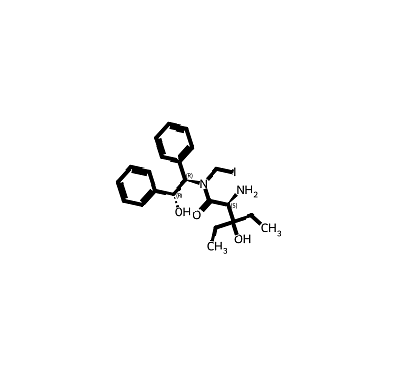 CCC(O)(CC)[C@H](N)C(=O)N(CI)[C@H](c1ccccc1)[C@H](O)c1ccccc1